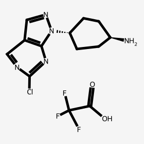 N[C@H]1CC[C@H](n2ncc3cnc(Cl)nc32)CC1.O=C(O)C(F)(F)F